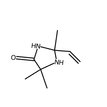 C=CC1(C)NC(=O)C(C)(C)N1